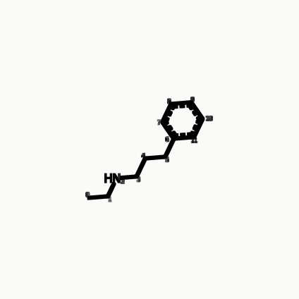 CCNCCCc1ccccc1